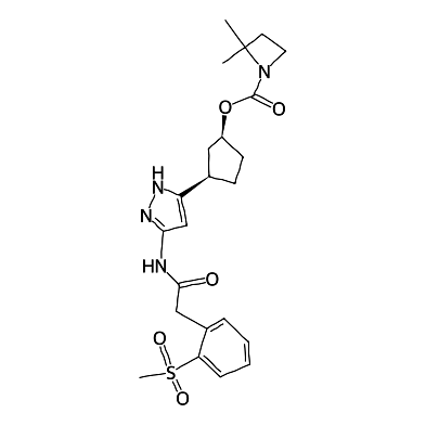 CC1(C)CCN1C(=O)O[C@H]1CC[C@@H](c2cc(NC(=O)Cc3ccccc3S(C)(=O)=O)n[nH]2)C1